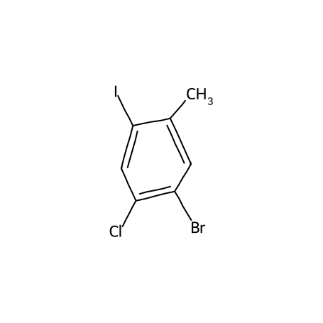 Cc1cc(Br)c(Cl)cc1I